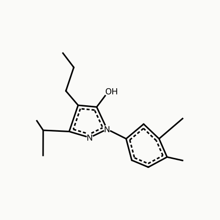 CCCc1c(C(C)C)nn(-c2ccc(C)c(C)c2)c1O